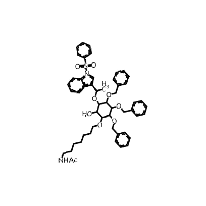 CC(=O)NCCCCCCCOC1C(O)C(OC(C)c2cn(S(=O)(=O)c3ccccc3)c3ccccc23)C(OCc2ccccc2)C(OCc2ccccc2)C1OCc1ccccc1